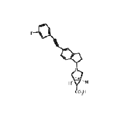 O=C(O)C1[C@H]2CN(C3CCc4cc(C#Cc5cccc(F)c5)ccc43)C[C@@H]12